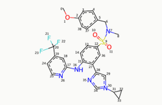 COc1ccc(CN(C)S(=O)(=O)c2ccc(Nc3cc(C(F)(F)F)ccn3)c(-c3cn(C4CC4)cn3)c2)cc1